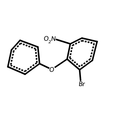 O=[N+]([O-])c1cccc(Br)c1Oc1ccccc1